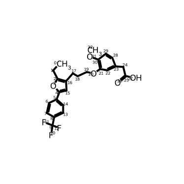 CCc1oc(-c2ccc(C(F)(F)F)cc2)cc1CCCOc1cc(CC(=O)O)ccc1OC